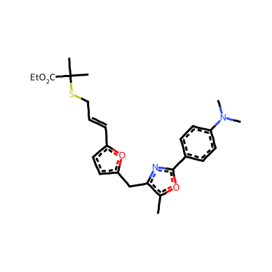 CCOC(=O)C(C)(C)SC/C=C/c1ccc(Cc2nc(-c3ccc(N(C)C)cc3)oc2C)o1